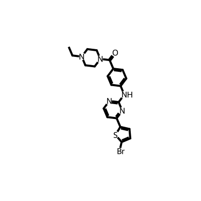 CCN1CCN(C(=O)c2ccc(Nc3nccc(-c4ccc(Br)s4)n3)cc2)CC1